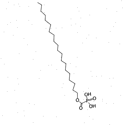 CCCCCCCCCCCCCCCCCCCCOC(=O)P(=O)(O)O